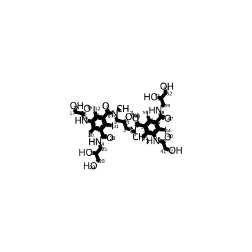 CN(CC(O)CN(C)C(=O)c1c(I)c(NC(=O)CO)c(I)c(C(=O)NCC(O)CO)c1I)C(=O)c1c(I)c(NC(=O)CO)c(I)c(C(=O)NCC(O)CO)c1I